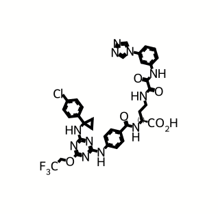 O=C(NCC[C@H](NC(=O)c1ccc(Nc2nc(NC3(c4ccc(Cl)cc4)CC3)nc(OCC(F)(F)F)n2)cc1)C(=O)O)C(=O)Nc1cccc(-n2cnnc2)c1